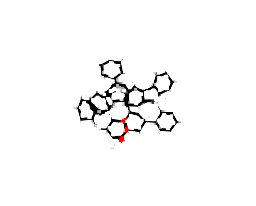 N#Cc1cc(-c2ccccc2N2c3ccccc3Sc3ccccc32)cc(-c2ccccc2-n2c3ccccc3c3cc(N(c4ccccc4)c4ccccc4)ccc32)c1